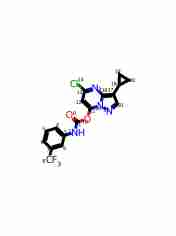 O=C(Nc1cccc(C(F)(F)F)c1)Oc1cc(Cl)nc2c(C3CC3)cnn12